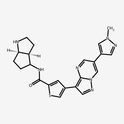 Cn1cc(-c2cnc3c(-c4csc(C(=O)NC5CC[C@H]6NCC[C@@H]56)c4)cnn3c2)cn1